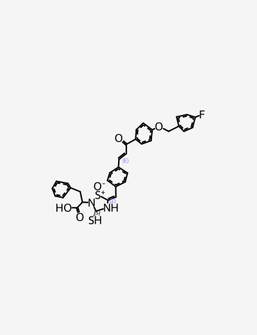 O=C(/C=C/c1ccc(/C=C2/N[C@H](S)N(C(Cc3ccccc3)C(=O)O)[S+]2[O-])cc1)c1ccc(OCc2ccc(F)cc2)cc1